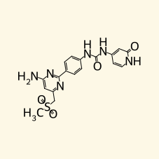 CS(=O)(=O)Cc1cc(N)nc(-c2ccc(NC(=O)Nc3cc[nH]c(=O)c3)cc2)n1